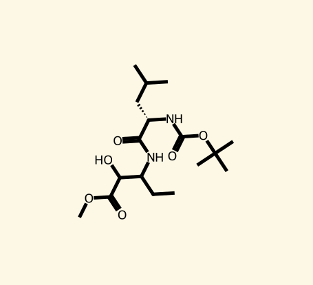 CCC(NC(=O)[C@H](CC(C)C)NC(=O)OC(C)(C)C)C(O)C(=O)OC